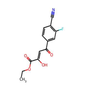 CCOC(=O)/C(O)=C/C(=O)c1ccc(C#N)c(F)c1